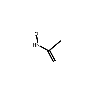 C=C(C)N[O]